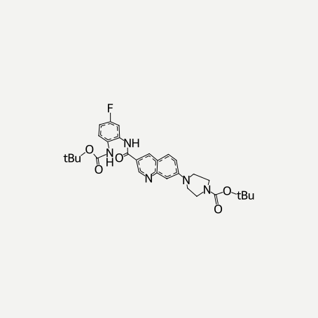 CC(C)(C)OC(=O)Nc1ccc(F)cc1NC(=O)c1cnc2cc(N3CCN(C(=O)OC(C)(C)C)CC3)ccc2c1